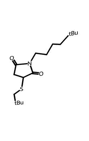 CC(C)(C)CCCCN1C(=O)CC(SCC(C)(C)C)C1=O